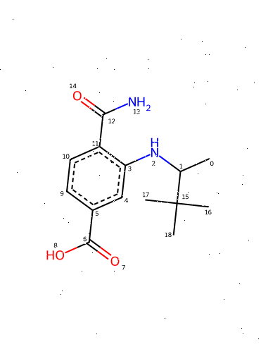 CC(Nc1cc(C(=O)O)ccc1C(N)=O)C(C)(C)C